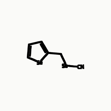 N#C[Se]Cc1ccc[se]1